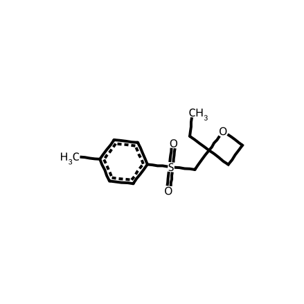 CCC1(CS(=O)(=O)c2ccc(C)cc2)CCO1